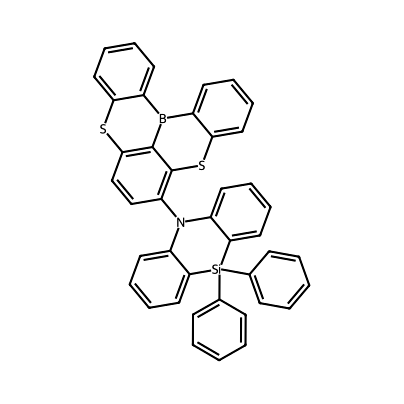 c1ccc([Si]2(c3ccccc3)c3ccccc3N(c3ccc4c5c3Sc3ccccc3B5c3ccccc3S4)c3ccccc32)cc1